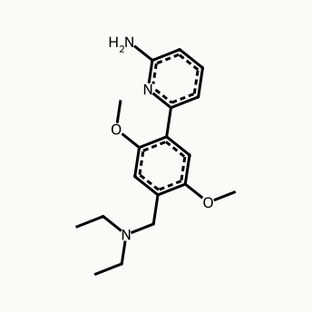 CCN(CC)Cc1cc(OC)c(-c2cccc(N)n2)cc1OC